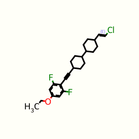 CCOc1cc(F)c(C#CC2CCC(C3CCC(/C=C/Cl)CC3)CC2)c(F)c1